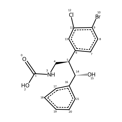 O=C(O)NC[C@@H](c1ccc(Br)c(Cl)c1)[C@H](O)c1ccccc1